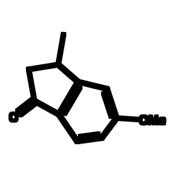 COc1ccc2c(c1)C(C)CC2=O